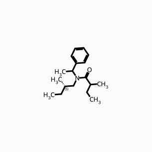 CCC(C)C(=O)N(C[C@@H](C)CC)C(C)c1ccccc1